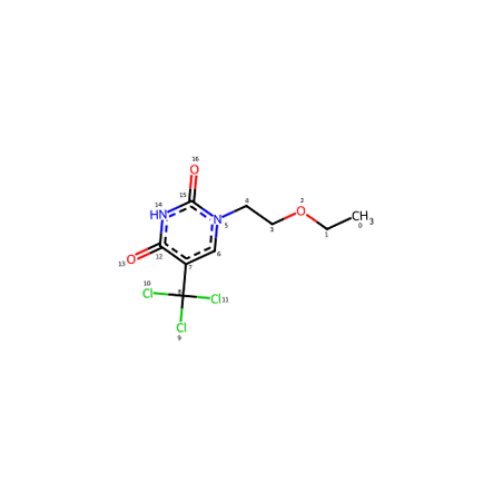 CCOCCn1cc(C(Cl)(Cl)Cl)c(=O)[nH]c1=O